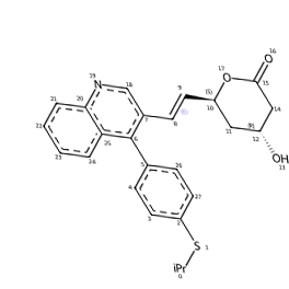 CC(C)Sc1ccc(-c2c(/C=C/[C@@H]3C[C@@H](O)CC(=O)O3)cnc3ccccc23)cc1